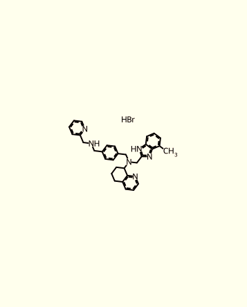 Br.Cc1cccc2[nH]c(CN(Cc3ccc(CNCc4ccccn4)cc3)C3CCCc4cccnc43)nc12